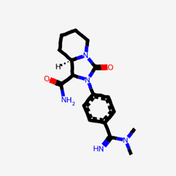 CN(C)C(=N)c1ccc(N2C(=O)N3CCC[CH][C@@H]3C2C(N)=O)cc1